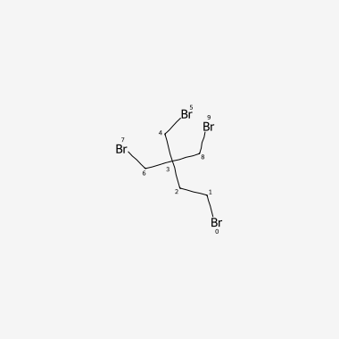 BrCCC(CBr)(CBr)CBr